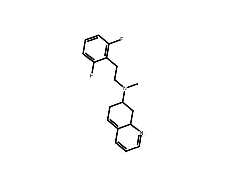 CN(CCc1c(F)cccc1F)C1CC=C2C=CC=NC2C1